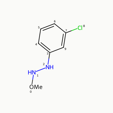 CONNc1cccc(Cl)c1